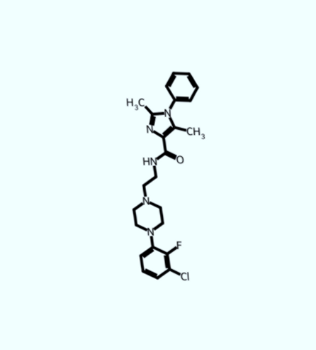 Cc1nc(C(=O)NCCN2CCN(c3cccc(Cl)c3F)CC2)c(C)n1-c1ccccc1